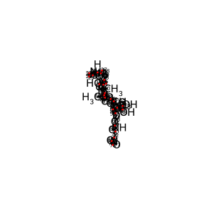 Cc1c(-c2ccc(-c3ccc4c(c3)N(C(=O)Nc3nc5ccccc5s3)CCC4)nc2C(=O)O)cnn1CC12CC3(C)CC(C)(C1)CC(OCCN(C)C(=O)OCc1ccc(OCCOCCNC(=O)CCCCCN4C(=O)C=CC4=O)cc1O[C@H]1C[C@@H](O)C[C@@H](C(=O)O)O1)(C3)C2